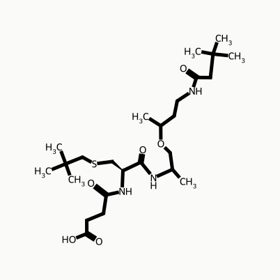 CC(COC(C)CCNC(=O)CC(C)(C)C)NC(=O)[C@H](CSCC(C)(C)C)NC(=O)CCC(=O)O